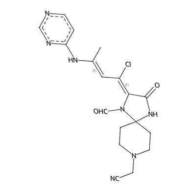 C/C(=C\C(Cl)=C1\C(=O)NC2(CCN(CC#N)CC2)N1C=O)Nc1ccncn1